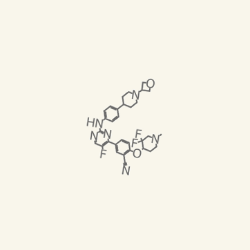 CN1CCC(Oc2ccc(-c3nc(Nc4ccc(C5CCN(C6COC6)CC5)cc4)ncc3F)cc2C#N)C(F)(F)C1